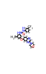 Bc1cc(NC(=O)Nc2cccc(C(F)(F)F)c2)cc(Oc2ccc3ncc(N4CCOCC4)nc3c2)c1